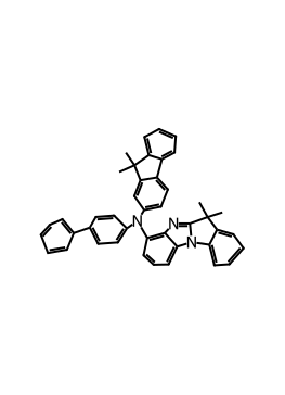 CC1(C)c2ccccc2-c2ccc(N(c3ccc(-c4ccccc4)cc3)c3cccc4c3nc3n4-c4ccccc4C3(C)C)cc21